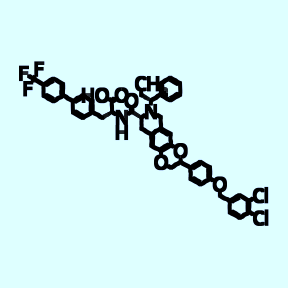 CC[C@@H](c1ccccc1)N1Cc2cc3c(cc2C[C@H]1C(=O)N[C@@H](Cc1ccc(-c2ccc(C(F)(F)F)cc2)cc1)C(=O)O)OCC(c1ccc(OCc2ccc(Cl)c(Cl)c2)cc1)O3